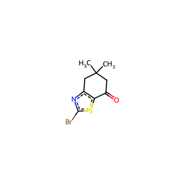 CC1(C)CC(=O)c2sc(Br)nc2C1